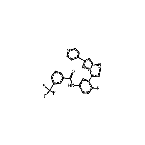 O=C(Nc1ccc(F)c(-c2ccnc3cc(-c4ccncc4)nn23)c1)c1cccc(C(F)(F)F)c1